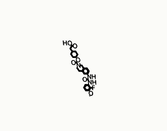 COc1cccc(NC(=O)Nc2ccc3c(c2)CCN(C(=O)OC2CCC(CC(=O)O)CC2)C3)c1F